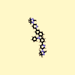 CC1=NC(C)(C)C(C)(C)N1c1ccc(-c2ccc3c(ccc4c5ccc(-c6ccc(N7C(C)=NC(C)(C)C7(C)C)cn6)cc5n(-c5ccccc5)c34)c2)nc1